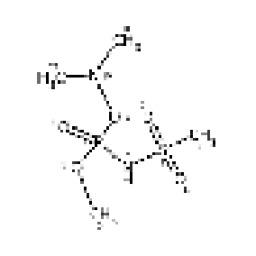 COP(=O)(NS(C)(=O)=O)ON(C)C